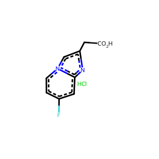 Cl.O=C(O)Cc1cn2ccc(F)cc2n1